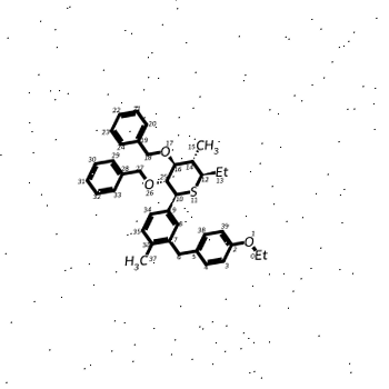 CCOc1ccc(Cc2cc([C@@H]3S[C@H](CC)[C@@H](C)[C@H](OCc4ccccc4)[C@H]3OCc3ccccc3)ccc2C)cc1